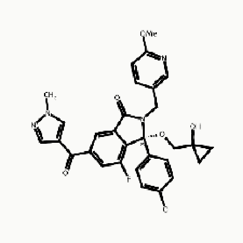 COc1ccc(CN2C(=O)c3cc(C(=O)c4cnn(C)c4)cc(F)c3[C@]2(OCC2(O)CC2)c2ccc(Cl)cc2)cn1